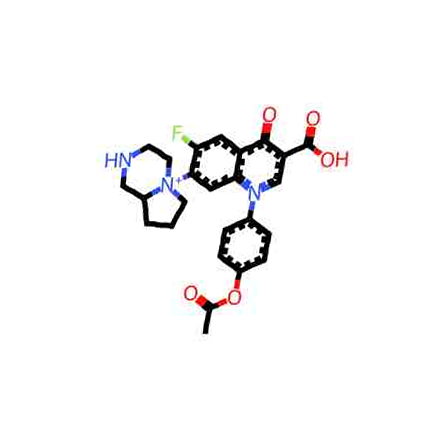 CC(=O)Oc1ccc(-n2cc(C(=O)O)c(=O)c3cc(F)c([N+]45CCCC4CNCC5)cc32)cc1